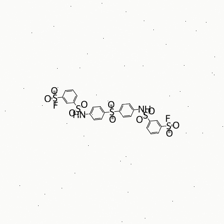 O=S(=O)(F)c1cccc(S(=O)(=O)Nc2ccc(S(=O)(=O)c3ccc(NS(=O)(=O)c4cccc(S(=O)(=O)F)c4)cc3)cc2)c1